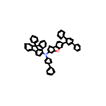 c1ccc(-c2ccc(N(c3ccc4c(c3)C(c3ccccc3)(c3ccccc3)c3ccccc3-4)c3ccc4c(c3)oc3cc(-c5cc(-c6ccccc6)ccc5-c5ccccc5)ccc34)cc2)cc1